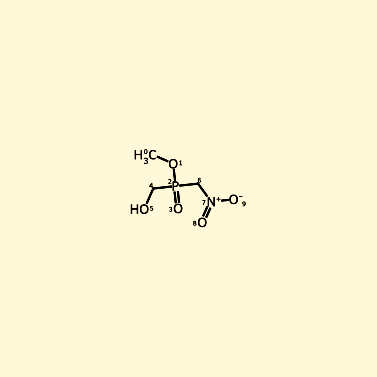 COP(=O)(CO)C[N+](=O)[O-]